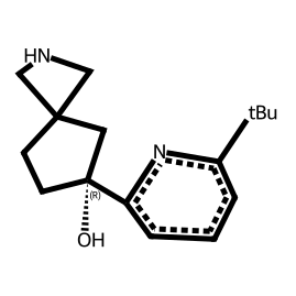 CC(C)(C)c1cccc([C@@]2(O)CCC3(CNC3)C2)n1